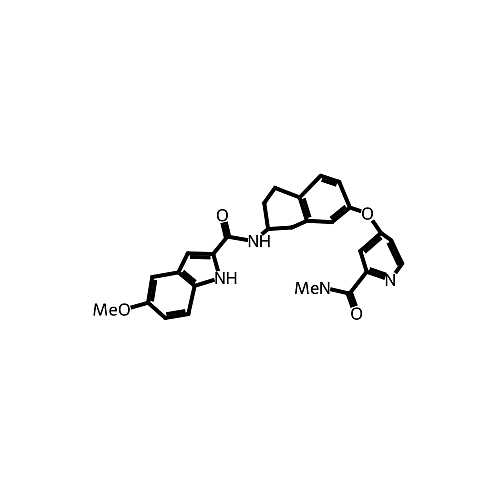 CNC(=O)c1cc(Oc2ccc3c(c2)CC(NC(=O)c2cc4cc(OC)ccc4[nH]2)CC3)ccn1